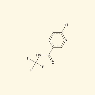 O=C(NC(F)(F)F)c1ccc(Cl)nc1